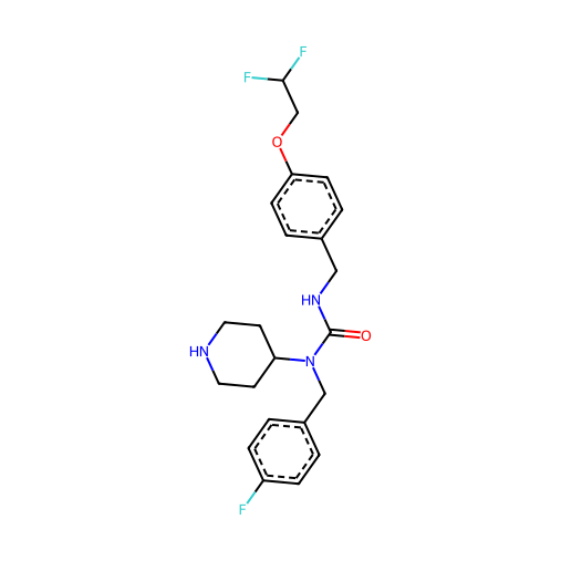 O=C(NCc1ccc(OCC(F)F)cc1)N(Cc1ccc(F)cc1)C1CCNCC1